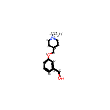 O=C(O)N1CCC(COc2cccc(CO)c2)CC1